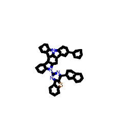 c1ccc(-c2ccc3c(c2)c2cc4c(c5ccccc5n4-c4nc(-c5ccc6ccccc6c5)c5sc6ccccc6c5n4)c4c5ccccc5n3c24)cc1